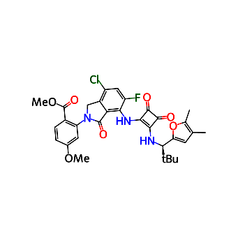 COC(=O)c1ccc(OC)cc1N1Cc2c(Cl)cc(F)c(Nc3c(N[C@@H](c4cc(C)c(C)o4)C(C)(C)C)c(=O)c3=O)c2C1=O